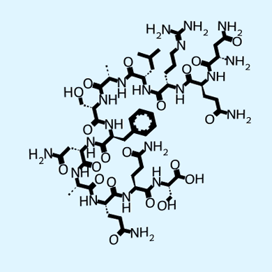 CC(C)C[C@H](NC(=O)[C@H](CCCN=C(N)N)NC(=O)[C@H](CCC(N)=O)NC(=O)[C@@H](N)CC(N)=O)C(=O)N[C@@H](C)C(=O)N[C@@H](CO)C(=O)N[C@@H](Cc1ccccc1)C(=O)N[C@@H](CC(N)=O)C(=O)N[C@@H](C)C(=O)N[C@@H](CCC(N)=O)C(=O)N[C@@H](CCC(N)=O)C(=O)N[C@@H](CO)C(=O)O